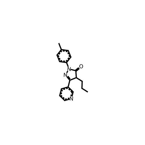 CCCC1C(=O)N(c2ccc(C)cc2)N=C1c1cccnc1